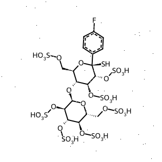 O=S(=O)(O)OC[C@H]1O[C@H](O[C@H]2[C@H](OS(=O)(=O)O)[C@@H](OS(=O)(=O)O)[C@@](S)(c3ccc(F)cc3)O[C@@H]2COS(=O)(=O)O)[C@H](OS(=O)(=O)O)[C@@H](OS(=O)(=O)O)[C@@H]1OS(=O)(=O)O